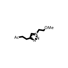 COCCn1cc(CCC(C)=O)nn1